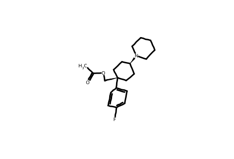 CC(=O)OC[C@]1(c2ccc(F)cc2)CC[C@H](N2CCCCC2)CC1